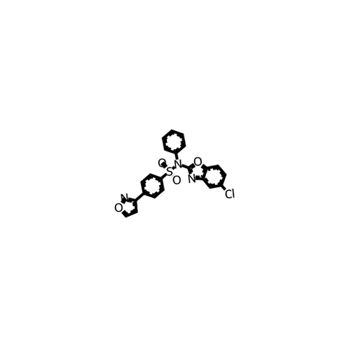 O=S(=O)(c1ccc(-c2ccon2)cc1)N(c1ccccc1)c1nc2cc(Cl)ccc2o1